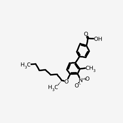 CCCCCC[C@@H](C)Oc1ccc(-c2ccc(C(=O)O)cc2)c(C)c1[N+](=O)[O-]